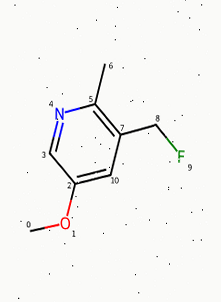 COc1cnc(C)c(CF)c1